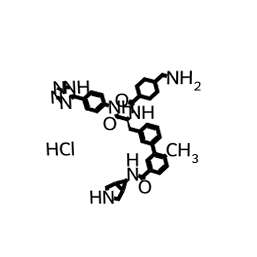 Cc1ccc(C(=O)NC2C3CNCC32)cc1-c1cccc(C[C@H](NC(=O)C2CCC(CN)CC2)C(=O)Nc2ccc(-c3nnn[nH]3)cc2)c1.Cl